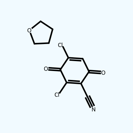 C1CCOC1.N#CC1=C(Cl)C(=O)C(Cl)=CC1=O